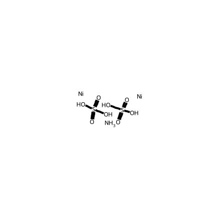 N.O=S(=O)(O)O.O=S(=O)(O)O.[Ni].[Ni]